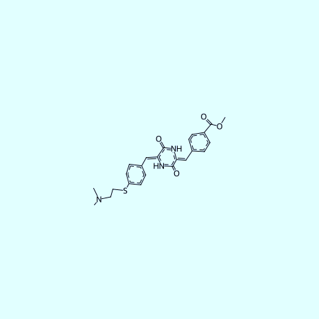 COC(=O)c1ccc(C=c2[nH]c(=O)c(=Cc3ccc(SCCN(C)C)cc3)[nH]c2=O)cc1